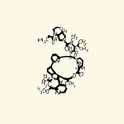 C=CC(=O)N1CCO[C@H]2CN(C(=O)N(C)[C@H](C(=O)N[C@H]3Cc4cccc(n4)-c4ccc5c(c4)c(c(-c4cccnc4[C@H](C)OC)n5CC)CC(C)(C)COC(=O)[C@@H]4CCCN(N4)C3=O)C(C)C)C[C@H]21